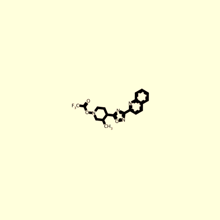 CC1CN(OC(=O)C(F)(F)F)CCC1c1nc(-c2ccc3ccccc3n2)no1